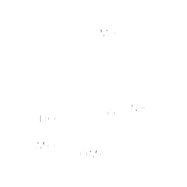 COc1ccc(C(CCc2cc(O)c(OC)c(OC)c2)CC(N)=O)cc1